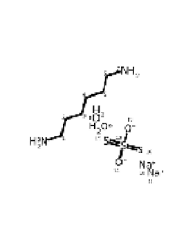 NCCCCCCN.O.O.[Na+].[Na+].[O-]S([O-])(=S)=S